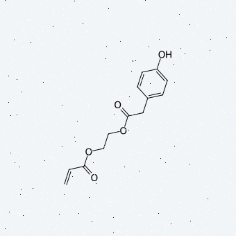 C=CC(=O)OCCOC(=O)Cc1ccc(O)cc1